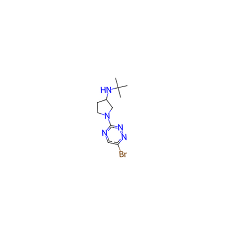 CC(C)(C)NC1CCN(c2ncc(Br)nn2)C1